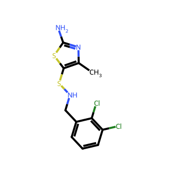 Cc1nc(N)sc1SNCc1cccc(Cl)c1Cl